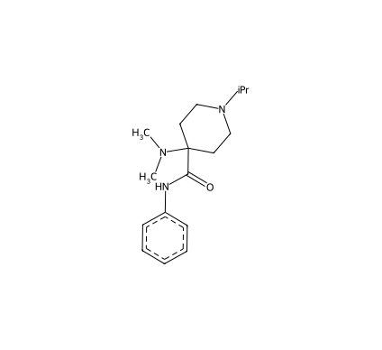 CC(C)N1CCC(C(=O)Nc2ccccc2)(N(C)C)CC1